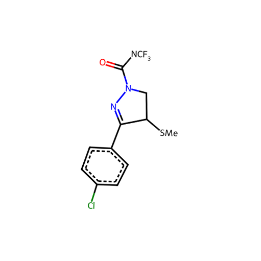 CSC1CN(C(=O)NC(F)(F)F)N=C1c1ccc(Cl)cc1